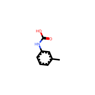 Cc1cccc(NC(=O)O)c1